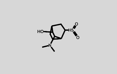 CN(C)C1C(O)C2CCC1C([SH](=O)=O)C2